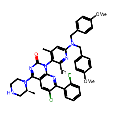 COc1ccc(CN(Cc2ccc(OC)cc2)c2cc(C)c(-n3c(=O)nc(N4CCNC[C@@H]4C)c4cc(Cl)c(-c5ccccc5F)nc43)c(C(C)C)n2)cc1